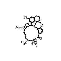 CO[C@H]1/C=C/C[C@H](C)C[S@](C)(=O)=NC(=O)c2ccc3c(c2)N(C[C@@H]2CC[C@H]21)C[C@@]1(CCCc2cc(Cl)ccc21)CO3